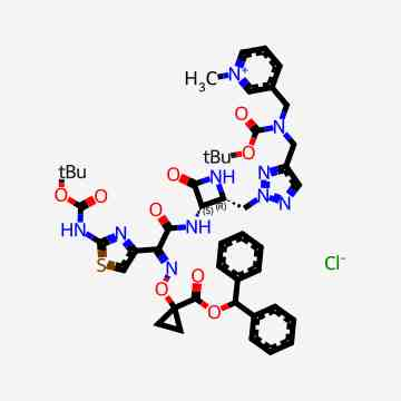 C[n+]1cccc(CN(Cc2cnn(C[C@H]3NC(=O)[C@H]3NC(=O)C(=NOC3(C(=O)OC(c4ccccc4)c4ccccc4)CC3)c3csc(NC(=O)OC(C)(C)C)n3)n2)C(=O)OC(C)(C)C)c1.[Cl-]